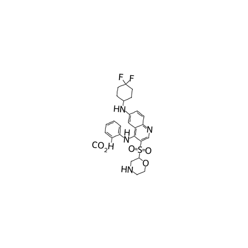 O=C(O)c1ccccc1Nc1c(S(=O)(=O)C2CNCCO2)cnc2ccc(NC3CCC(F)(F)CC3)cc12